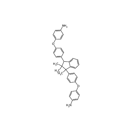 CC1(c2ccc(Oc3ccc(N)cc3)cc2)c2ccccc2C(c2ccc(Oc3ccc(N)cc3)cc2)C1(C)C